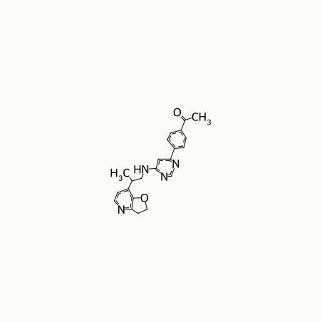 CC(=O)c1ccc(-c2cc(NCC(C)c3ccnc4c3OCC4)ncn2)cc1